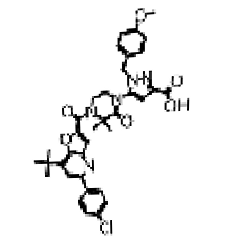 COc1ccc(Cn2nc(C(=O)O)cc2N2CCN(C(=O)c3cc4nc(-c5ccc(Cl)cc5)cc(C(C)(C)C)c4o3)C(C)(C)C2=O)cc1